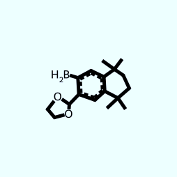 Bc1cc2c(cc1C1OCCO1)C(C)(C)CCC2(C)C